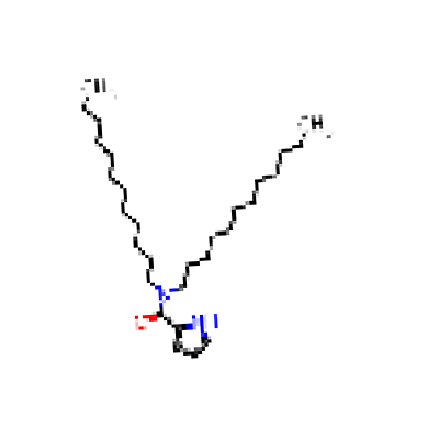 CCCCCCCCCCCCN(CCCCCCCCCCCC)C(=O)c1ccc[nH]1